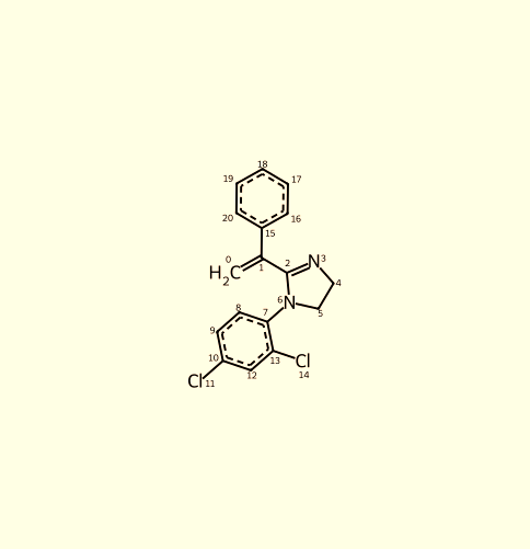 C=C(C1=NCCN1c1ccc(Cl)cc1Cl)c1ccccc1